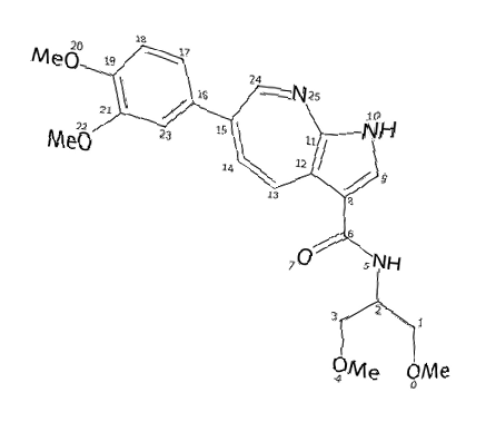 COCC(COC)NC(=O)c1c[nH]c2c1C=C=C(c1ccc(OC)c(OC)c1)C=N2